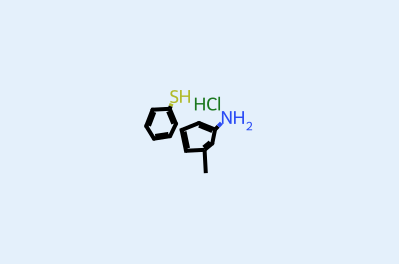 Cc1cccc(N)c1.Cl.Sc1ccccc1